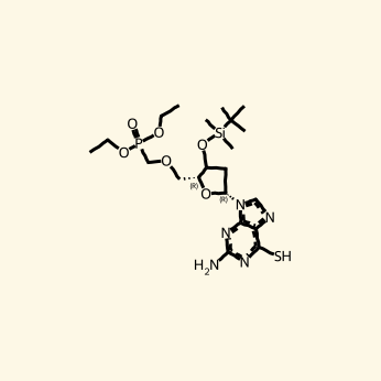 CCOP(=O)(COC[C@H]1O[C@@H](n2cnc3c(S)nc(N)nc32)CC1O[Si](C)(C)C(C)(C)C)OCC